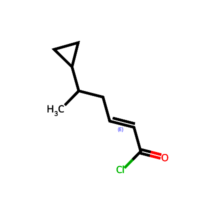 CC(C/C=C/C(=O)Cl)C1CC1